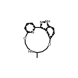 CC1CCOc2ccc3[nH]nc(c3c2)-c2cccc(n2)OCCN1